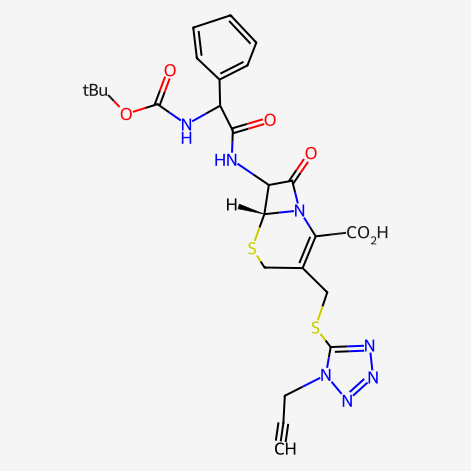 C#CCn1nnnc1SCC1=C(C(=O)O)N2C(=O)C(NC(=O)C(NC(=O)OC(C)(C)C)c3ccccc3)[C@H]2SC1